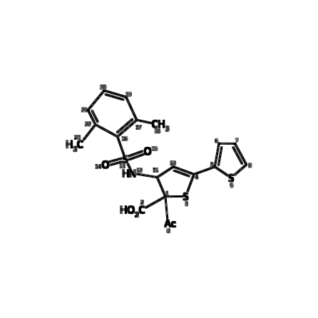 CC(=O)C1(C(=O)O)SC(c2cccs2)=CC1NS(=O)(=O)c1c(C)cccc1C